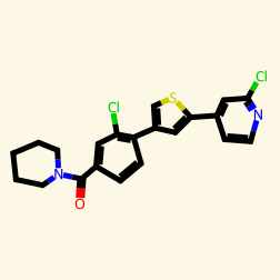 O=C(c1ccc(-c2csc(-c3ccnc(Cl)c3)c2)c(Cl)c1)N1CCCCC1